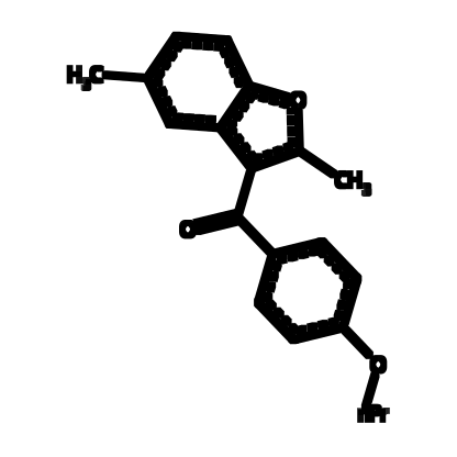 CCCOc1ccc(C(=O)c2c(C)oc3ccc(C)cc23)cc1